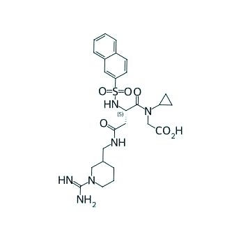 N=C(N)N1CCCC(CNC(=O)C[C@H](NS(=O)(=O)c2ccc3ccccc3c2)C(=O)N(CC(=O)O)C2CC2)C1